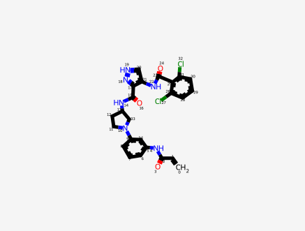 C=CC(=O)Nc1cccc(N2CCC(NC(=O)c3n[nH]cc3NC(=O)c3c(Cl)cccc3Cl)C2)c1